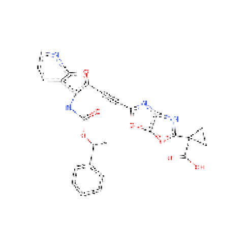 CC(OC(=O)Nc1c(C#Cc2nc3nc(C4(C(=O)O)CC4)oc3o2)oc2ncccc12)c1ccccc1